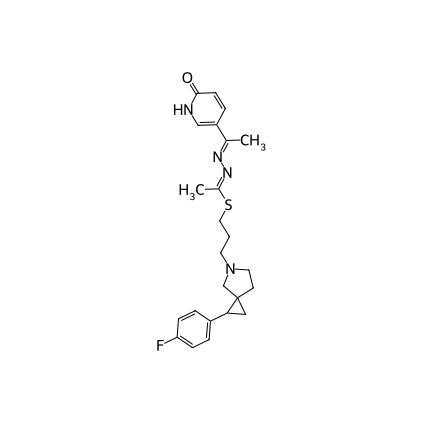 C/C(=N\N=C(/C)c1ccc(=O)[nH]c1)SCCCN1CCC2(CC2c2ccc(F)cc2)C1